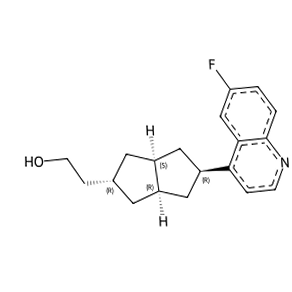 OCC[C@H]1C[C@@H]2C[C@H](c3ccnc4ccc(F)cc34)C[C@@H]2C1